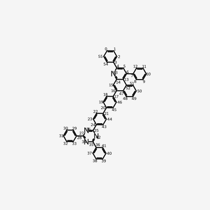 c1ccc(-c2cc(-c3ccccc3)c3c(cc(-c4ccc(-c5ccc(-c6nc(-c7ccccc7)nc(-c7ccccc7)n6)cc5)cc4)c4ccccc43)n2)cc1